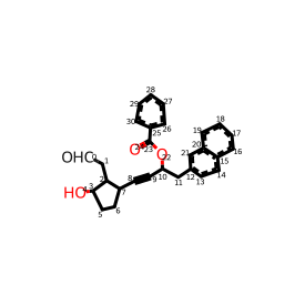 O=CCC1C(O)CCC1C#CC(Cc1ccc2ccccc2c1)OC(=O)c1ccccc1